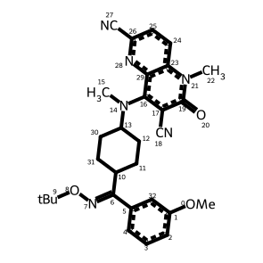 COc1cccc(/C(=N/OC(C)(C)C)C2CCC(N(C)c3c(C#N)c(=O)n(C)c4ccc(C#N)nc34)CC2)c1